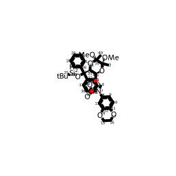 CO[C@]1(C)O[C@@H]([C@@H]2CN(c3ccc4c(c3)OCCO4)C(=O)O2)[C@@H](C(O[SiH2]C(C)(C)C)(c2ccccc2)c2ccccc2)O[C@@]1(C)OC